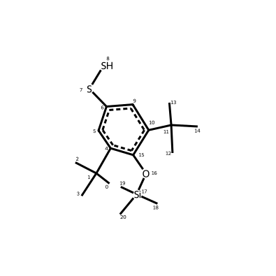 CC(C)(C)c1cc(SS)cc(C(C)(C)C)c1O[Si](C)(C)C